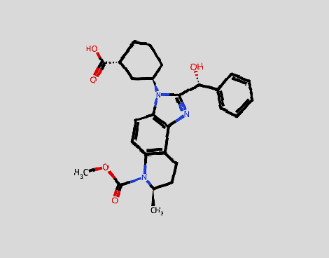 COC(=O)N1c2ccc3c(nc([C@H](O)c4ccccc4)n3[C@@H]3CCC[C@@H](C(=O)O)C3)c2CC[C@H]1C